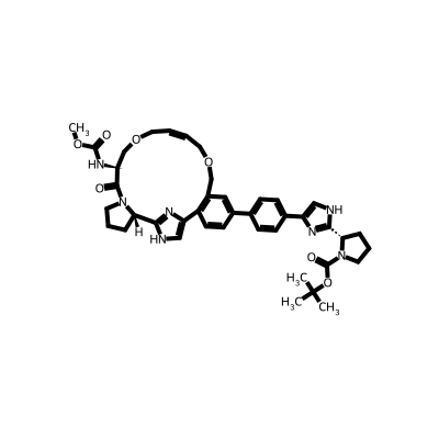 COC(=O)N[C@H]1COCC=CCOCc2cc(-c3ccc(-c4c[nH]c([C@@H]5CCCN5C(=O)OC(C)(C)C)n4)cc3)ccc2-c2c[nH]c(n2)[C@@H]2CCCN2C1=O